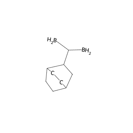 BC(B)C1CC2CCC1CC2